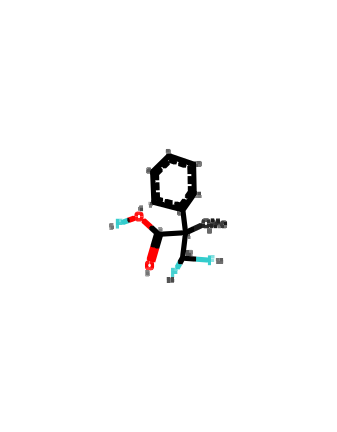 COC(C(=O)OF)(c1ccccc1)C(F)F